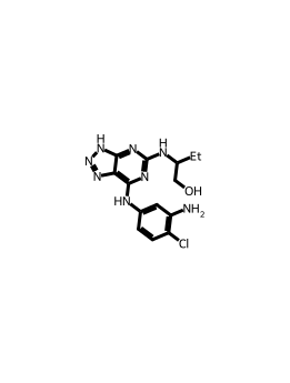 CCC(CO)Nc1nc(Nc2ccc(Cl)c(N)c2)c2nn[nH]c2n1